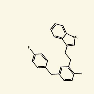 Cc1c[c]c(Cc2ccc(F)cc2)cc1CCc1c[nH]c2ccccc12